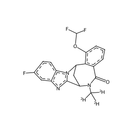 [2H]C([2H])([2H])N1C(=O)c2cccc(OC(F)F)c2C2CC1c1nc3cc(F)ccc3n12